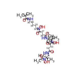 CC(=O)N(O)C(C)(C)CNC(=O)CCC(=O)N(O)C(C)C(C)(C)NC(=O)CCC(=O)N(O)CCCCCNC(=O)C(C)C